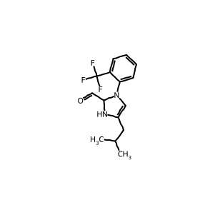 CC(C)CC1=CN(c2ccccc2C(F)(F)F)C(C=O)N1